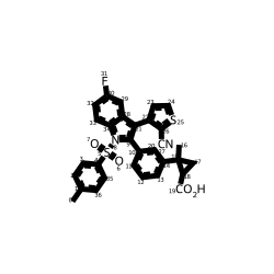 Cc1ccc(S(=O)(=O)n2c(-c3cccc(C4(C)CC4C(=O)O)c3)c(-c3ccsc3C#N)c3cc(F)ccc32)cc1